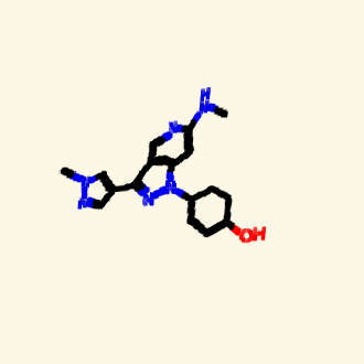 CNc1cc2c(cn1)c(-c1cnn(C)c1)nn2C1CCC(O)CC1